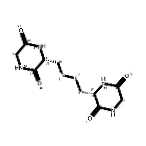 O=C1CNC(=O)[C@H](CSSC[C@H]2NC(=O)CNC2=O)N1